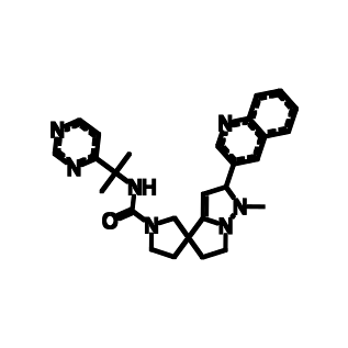 CN1C(c2cnc3ccccc3c2)C=C2N1CCC21CCN(C(=O)NC(C)(C)c2ccncn2)C1